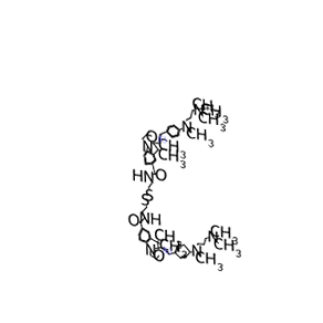 CN(C)CCCN(C)C1C=CC(/C=C/C23OCCN2c2ccc(C(=O)NCCSSCCNC(=O)c4ccc5c(c4)C(C)(C)C4(/C=C/c6ccc(N(C)CCC[N+](C)(C)C)cc6)OCCN54)cc2C3(C)C)=CC1